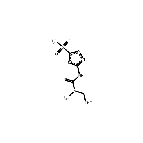 CN(CC=O)C(=O)Nc1nnc(S(C)(=O)=O)s1